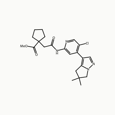 COC(=O)C1(CC(=O)Nc2cc(-c3cnn4c3CC(C)(C)C4)c(Cl)cn2)CCCC1